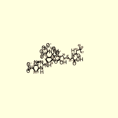 CN1C([N+](=O)[O-])=C([N+](=O)[O-])c2cc(NC(=NC#N)Nc3ccc([N+](=O)[O-])cc3)ccc2C1(C(=O)NC(CCSCC(NC(=O)CC(C)(C)C)C(=O)O)C(=O)O)[N+](=O)[O-]